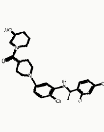 C[C@@H](Nc1cc(N2CCC(C(=O)N3CCCC(O)C3)CC2)ccc1Cl)c1ccc(Cl)cc1Cl